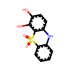 O=S1(=O)c2ccccc2Nc2ccc(O)c(O)c21